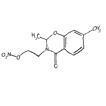 Cc1ccc2c(c1)OC(C)N(CCO[N+](=O)[O-])C2=O